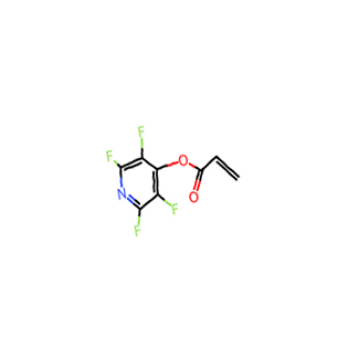 C=CC(=O)Oc1c(F)c(F)nc(F)c1F